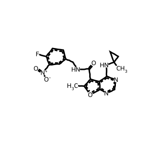 Cc1oc2ncnc(NC3(C)CC3)c2c1C(=O)NCc1ccc(F)c([N+](=O)[O-])c1